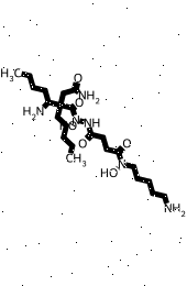 CCCCCC(CC(N)=O)(C(=O)N(O)NC(=O)CCC(=O)N(O)CCCCCN)C(N)CCCC